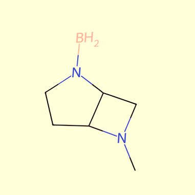 BN1CCC2C1CN2C